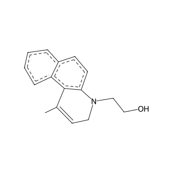 CC1=CCN(CCO)c2ccc3ccccc3c21